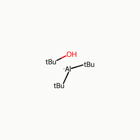 CC(C)(C)O.C[C](C)(C)[Al][C](C)(C)C